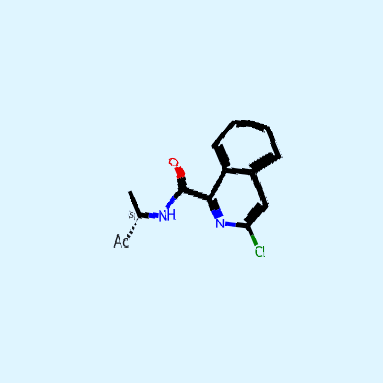 CC(=O)[C@H](C)NC(=O)c1nc(Cl)cc2ccccc12